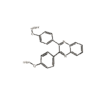 CCCCCCOc1ccc(-c2nc3ccccc3nc2-c2ccc(OCCCCCC)cc2)cc1